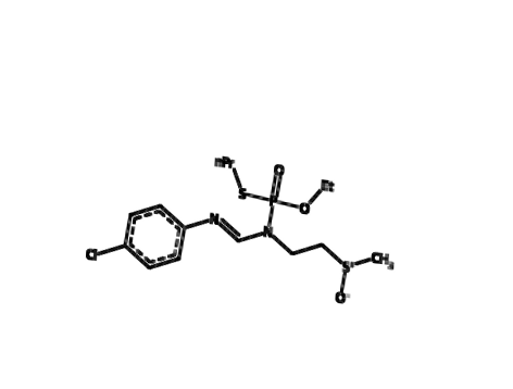 CCCSP(=O)(OCC)N(C=Nc1ccc(Cl)cc1)CC[S+](C)[O-]